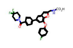 O=C(O)NCc1cc2cc(-c3ccc(C(=O)N4CCC(F)(F)CC4)cc3)cc(Oc3ccc(F)cc3)c2o1